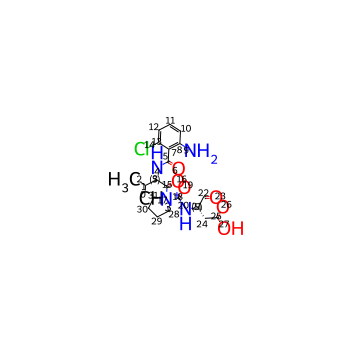 CC(C)[C@H](NC(=O)c1c(N)cccc1Cl)C(=O)[N+]1(C(=O)N[C@H](C=O)CC(=O)O)CCCC1